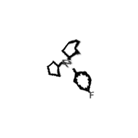 Fc1ccc(P(C2CCCC2)C2CCCC2)cc1